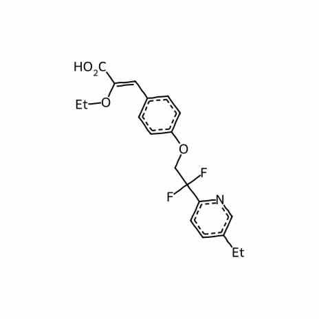 CCO/C(=C\c1ccc(OCC(F)(F)c2ccc(CC)cn2)cc1)C(=O)O